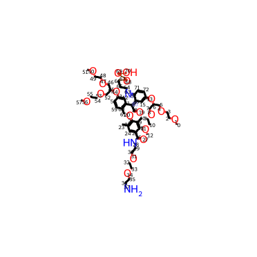 COCCOCC(COCCOC)OC1=CC(=C(\C(=O)Oc2c(C)cc(C(=O)NCCOCCOCCN)cc2C)c2cc(OC(COCCOC)COCCOC)ccc2C)/C(=N/CCCS(=O)(=O)O)C=C1